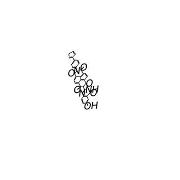 O=C1c2ccc3c4c(ccc(c24)C(=O)C1c1nc2ccc(O)cc2c(=O)[nH]1)C(=O)N(c1ccc(C2=CCC=C2)cc1)C3=O